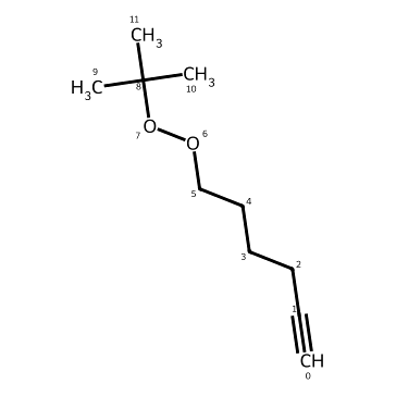 C#CCCCCOOC(C)(C)C